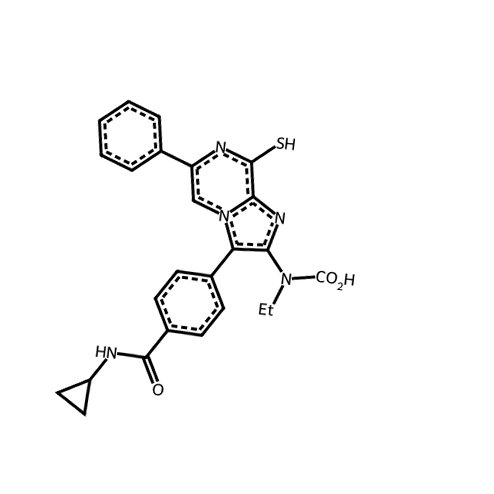 CCN(C(=O)O)c1nc2c(S)nc(-c3ccccc3)cn2c1-c1ccc(C(=O)NC2CC2)cc1